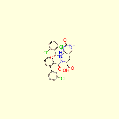 O=C(N[C@@H](Cc1c[nH]c(=O)nc1NC(=O)c1c(Cl)cccc1Cl)C(=O)O)c1ccccc1-c1cccc(Cl)c1